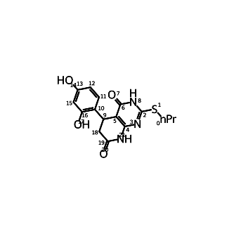 CCCSc1nc2c(c(=O)[nH]1)C(c1ccc(O)cc1O)CC(=O)N2